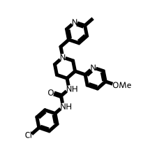 COc1ccc(C2CN(Cc3ccc(C)nc3)CCC2NC(=O)Nc2ccc(Cl)cc2)nc1